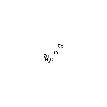 O.[Ce].[Cu].[Zn]